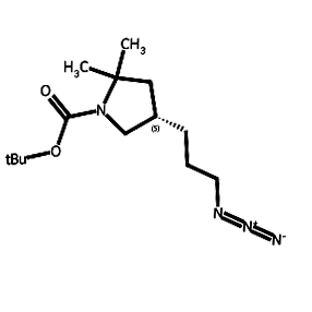 CC(C)(C)OC(=O)N1C[C@@H](CCCN=[N+]=[N-])CC1(C)C